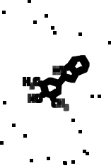 Cc1cc(-c2cc3ccccc3[nH]2)cc(C)c1O